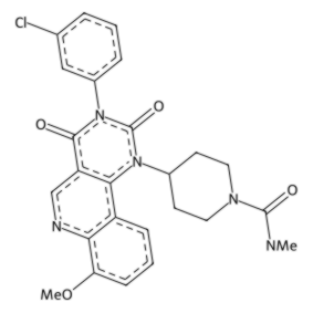 CNC(=O)N1CCC(n2c(=O)n(-c3cccc(Cl)c3)c(=O)c3cnc4c(OC)cccc4c32)CC1